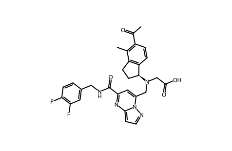 CC(=O)c1ccc2c(c1C)CC[C@@H]2N(CC(=O)O)Cc1cc(C(=O)NCc2ccc(F)c(F)c2)nc2ccnn12